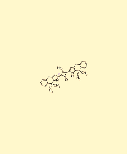 CC1(C)C2=N/C(=C3\C(=O)C(c4cc5c([nH]4)C(C)(C)c4ccccc4C5)=C3O)C=C2Cc2ccccc21